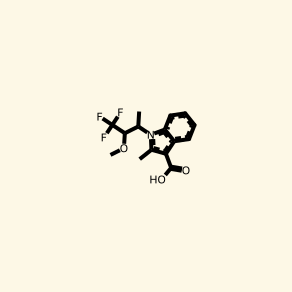 COC(C(C)n1c(C)c(C(=O)O)c2ccccc21)C(F)(F)F